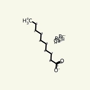 CCCCCCCCCC(=O)[O-].[Br-].[Br-].[Ga+3]